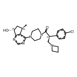 C[C@@H]1C[C@@H](O)c2ncnc(N3CCN(C(=O)[C@H](CN4CCC4)c4ccc(Cl)cc4)CC3)c21